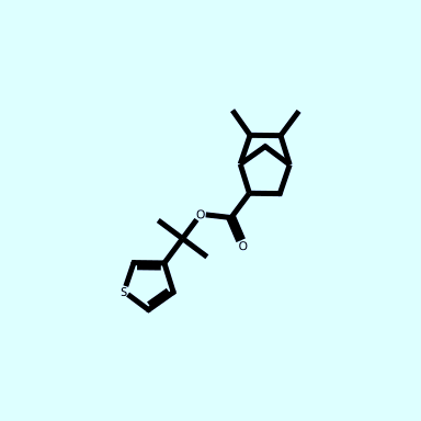 CC1C2CC(C(=O)OC(C)(C)c3ccsc3)C(C2)C1C